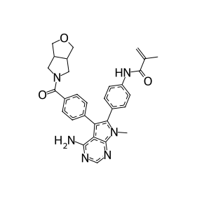 C=C(C)C(=O)Nc1ccc(-c2c(-c3ccc(C(=O)N4CC5COCC5C4)cc3)c3c(N)ncnc3n2C)cc1